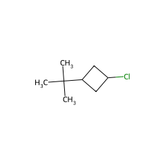 CC(C)(C)C1CC(Cl)C1